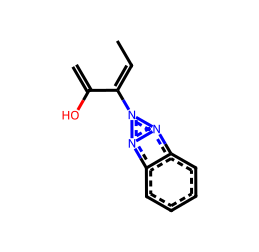 C=C(O)/C(=C\C)n1n2c3ccccc3n12